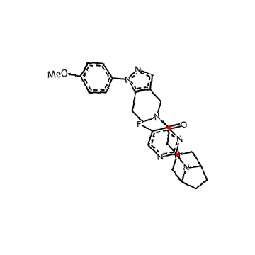 COc1ccc(-n2ncc3c2CCN(C(=O)CN2CC4CCC(C2)N4c2ncc(F)cn2)C3)cc1